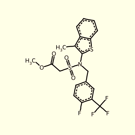 COC(=O)CS(=O)(=O)N(Cc1ccc(F)c(C(F)(F)F)c1)c1sc2ccccc2c1C